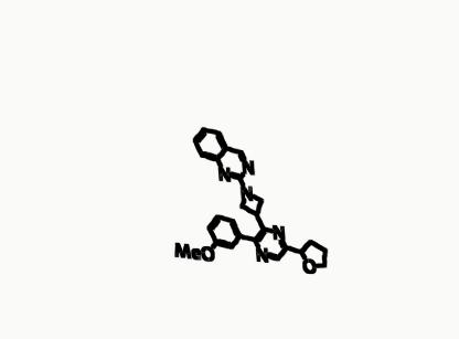 COc1cccc(-c2ncc(C3CCCO3)nc2C2CN(c3ncc4ccccc4n3)C2)c1